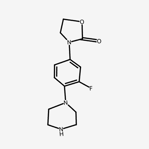 O=C1OCCN1c1ccc(N2CCNCC2)c(F)c1